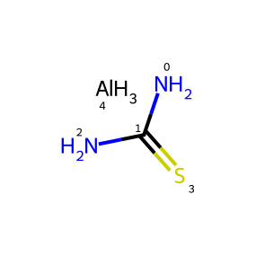 NC(N)=S.[AlH3]